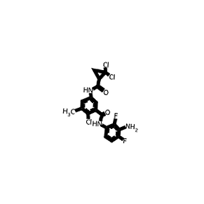 Cc1cc(NC(=O)C2CC2(Cl)Cl)cc(C(=O)Nc2ccc(F)c(N)c2F)c1Cl